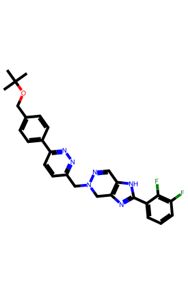 CC(C)(C)OCc1ccc(-c2ccc(CN3Cc4nc(-c5cccc(F)c5F)[nH]c4C=N3)nn2)cc1